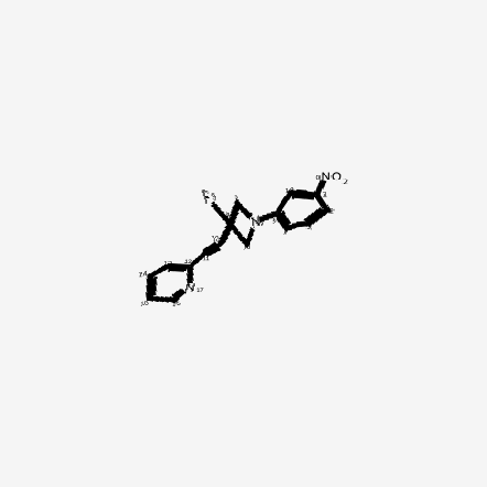 O=[N+]([O-])c1cccc(N2CC(F)(C#Cc3ccccn3)C2)c1